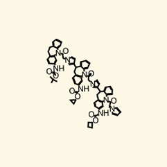 CC(C)(C)OC(=O)Nc1ccc2c(c1)N(C(=O)Cn1ccc(C3Cc4ccc(NC(=O)OC5CC5)cc4N(C(=O)Cn4ccc(C5Cc6ccc(NC(=O)OC7CCC7)cc6N(C(=O)Cn6cccc6)c6ccccc65)c4)c4ccccc43)c1)c1ccccc1CC2